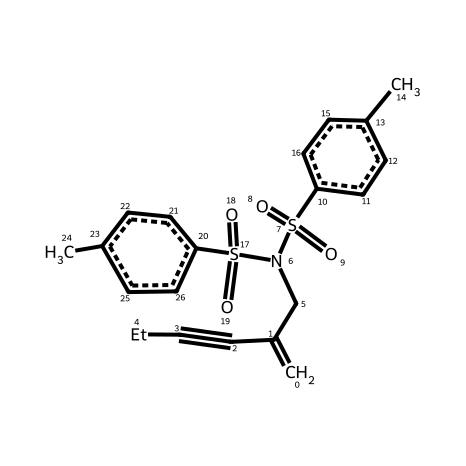 C=C(C#CCC)CN(S(=O)(=O)c1ccc(C)cc1)S(=O)(=O)c1ccc(C)cc1